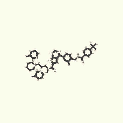 Cc1cc(-c2ncnc3[nH]c(C(=O)N(C)CCCN4[C@@H](c5ncccc5C)CCC[C@H]4c4ncccc4C)cc23)ccc1CNC(=O)c1ccc(C(C)(C)C)cc1